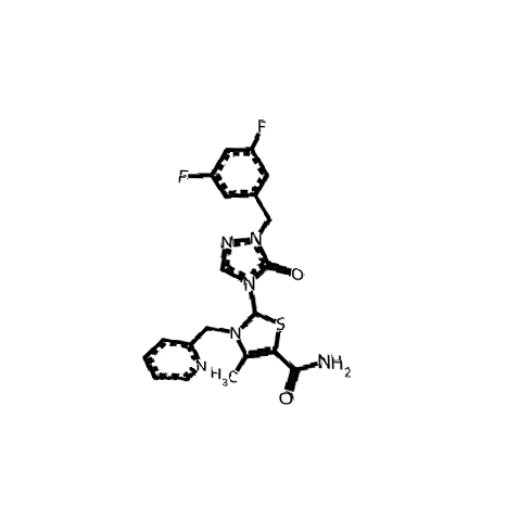 CC1=C(C(N)=O)SC(n2cnn(Cc3cc(F)cc(F)c3)c2=O)N1Cc1ccccn1